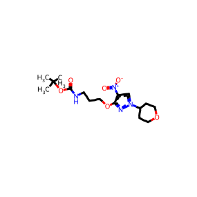 CC(C)(C)OC(=O)NCCCOc1nn(C2CCOCC2)cc1[N+](=O)[O-]